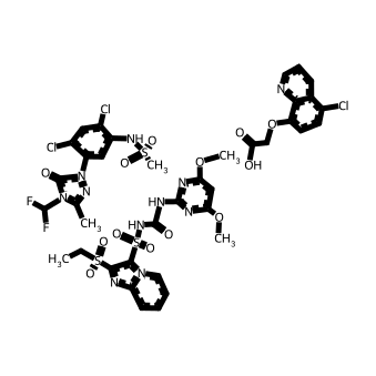 CCS(=O)(=O)c1nc2ccccn2c1S(=O)(=O)NC(=O)Nc1nc(OC)cc(OC)n1.Cc1nn(-c2cc(NS(C)(=O)=O)c(Cl)cc2Cl)c(=O)n1C(F)F.O=C(O)COc1ccc(Cl)c2cccnc12